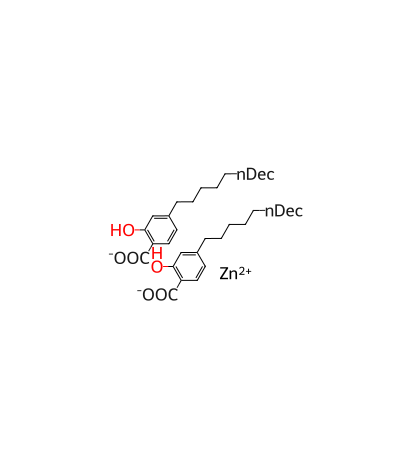 CCCCCCCCCCCCCCCc1ccc(C(=O)[O-])c(O)c1.CCCCCCCCCCCCCCCc1ccc(C(=O)[O-])c(O)c1.[Zn+2]